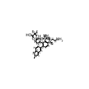 Cn1cc2cc(-c3ccc(S(=O)(=O)CCN)c(S(N)(=O)=O)c3-c3nnn[nH]3)ccc2n1.O=C(O)C(F)(F)F